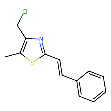 Cc1sc(C=Cc2ccccc2)nc1CCl